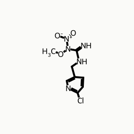 CON(C(=N)NCc1ccc(Cl)nc1)[N+](=O)[O-]